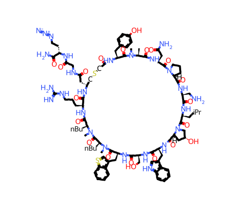 CCCC[C@H]1C(=O)N(C)[C@@H](CCCC)C(=O)N[C@@H](CCCNC(=N)N)C(=O)N[C@H](CC(=O)NCC(=O)N[C@@H](CCN=[N+]=[N-])C(N)=O)CSCC(=O)N[C@@H](Cc2ccc(O)cc2)C(=O)N(C)[C@@H](C)C(=O)N[C@@H](CC(N)=O)C(=O)N2CCC[C@H]2C(=O)N[C@@H](CN)C(=O)N[C@@H](CC(C)C)C(=O)N2C[C@H](O)C[C@H]2C(=O)N[C@@H](Cc2c[nH]c3ccccc23)C(=O)N[C@@H](CO)C(=O)N[C@@H](Cc2csc3ccccc23)C(=O)N1C